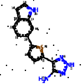 Nc1n[nH]nc1-c1ccc(-c2ccc3cc[nH]c3c2)s1